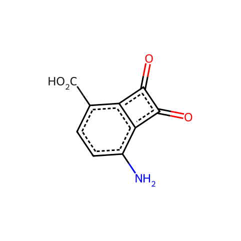 Nc1ccc(C(=O)O)c2c(=O)c(=O)c12